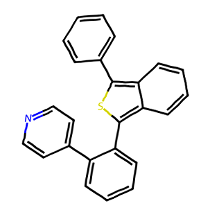 c1ccc(-c2sc(-c3ccccc3-c3ccncc3)c3ccccc23)cc1